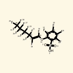 O=S(=O)(O)c1c(F)c(F)c(F)c(F)c1OC(F)=C(F)C(F)(F)C(F)(F)C(F)(F)C(F)(F)F